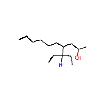 CCCCCCC(CC(C)O)C(N)(CC)CC